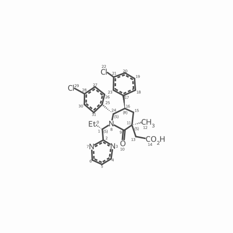 CC[C@@H](c1ncccn1)N1C(=O)[C@](C)(CC(=O)O)C[C@H](c2cccc(Cl)c2)[C@H]1c1ccc(Cl)cc1